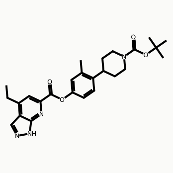 CCc1cc(C(=O)Oc2ccc(C3CCN(C(=O)OC(C)(C)C)CC3)c(C)c2)nc2[nH]ncc12